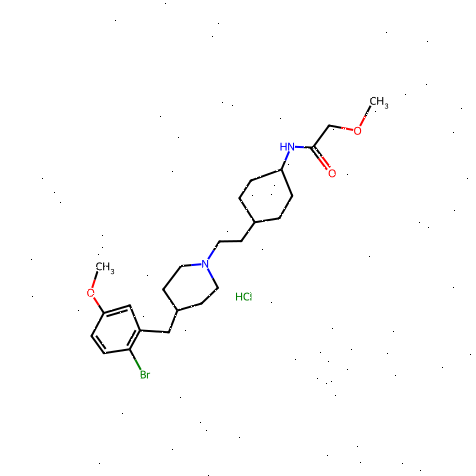 COCC(=O)NC1CCC(CCN2CCC(Cc3cc(OC)ccc3Br)CC2)CC1.Cl